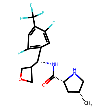 C[C@H]1CN[C@@H](C(=O)N[C@@H](c2cc(F)c(C(F)(F)F)cc2F)C2COC2)C1